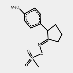 COc1ccc(C2CCCC2=NOS(C)(=O)=O)cc1